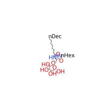 CCCCCCCCCCCCCCCCCC(=O)NC(CO[C@@H]1O[C@H](CO)[C@H](O)[C@H](O)[C@H]1O)C(=O)NCCCCCC